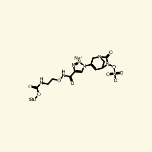 CC(C)(C)OC(=O)NCCONC(=O)c1cn(C2=CC3CN(C2)C(=O)N3OS(=O)(=O)[O-])nn1.[Na+]